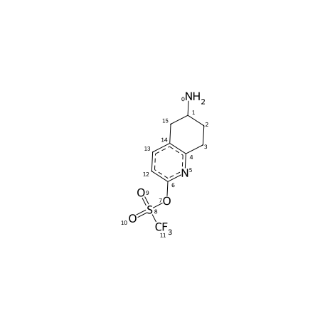 NC1CCc2nc(OS(=O)(=O)C(F)(F)F)ccc2C1